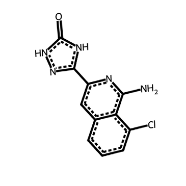 Nc1nc(-c2n[nH]c(=O)[nH]2)cc2cccc(Cl)c12